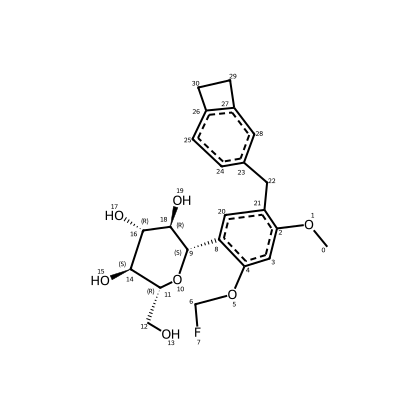 COc1cc(OCF)c([C@@H]2O[C@H](CO)[C@@H](O)[C@H](O)[C@H]2O)cc1Cc1ccc2c(c1)CC2